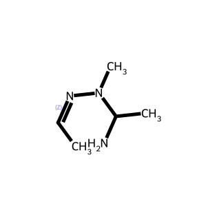 C/C=N\N(C)C(C)N